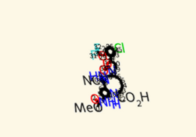 COC(=O)Nc1ccc2c(c1)N[C@@H](C(=O)O)CCCC[C@H](N1CCC(c3cc(Cl)ccc3OC(F)F)OC1=O)c1nc-2c(C#N)[nH]1